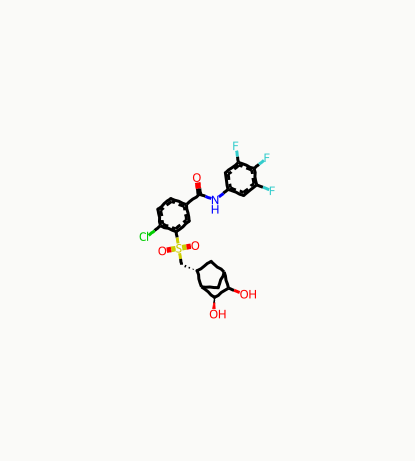 O=C(Nc1cc(F)c(F)c(F)c1)c1ccc(Cl)c(S(=O)(=O)C[C@@H]2CC3CC2[C@H](O)C3O)c1